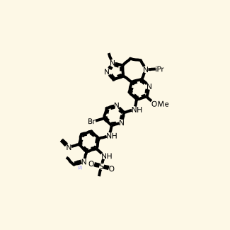 C=Nc1ccc(Nc2nc(Nc3cc4c(nc3OC)N(C(C)C)CCc3c-4cnn3C)ncc2Br)c(NS(C)(=O)=O)c1/N=C\C